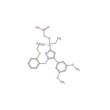 CCOc1ccccc1Cn1nc([C@](C)(CC)OCC(=O)O)cc1-c1cc(OC)cc(OC)c1